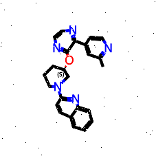 Cc1cc(-c2nccnc2O[C@H]2CCCN(c3ccc4ccccc4n3)C2)ccn1